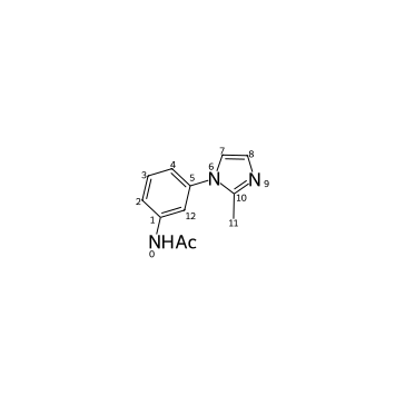 CC(=O)Nc1cccc(-n2ccnc2C)c1